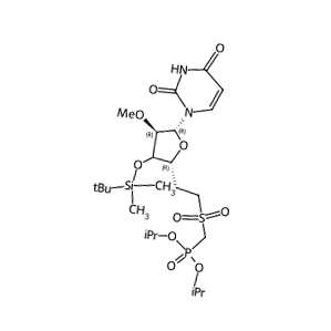 CO[C@@H]1C(O[Si](C)(C)C(C)(C)C)[C@@H](CCS(=O)(=O)CP(=O)(OC(C)C)OC(C)C)O[C@H]1n1ccc(=O)[nH]c1=O